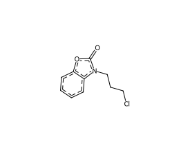 O=c1oc2ccccc2n1CCCCl